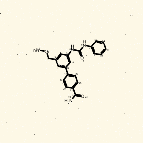 CCCOCc1cc(NC(=O)Nc2ccccc2)cc(-c2ccc(C(N)=O)cc2)c1